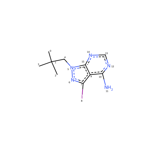 CC(C)(C)Cn1nc(I)c2c(N)ncnc21